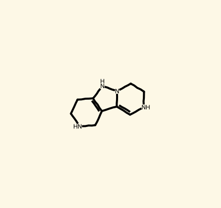 C1=C2C3=C(CCNC3)NN2CCN1